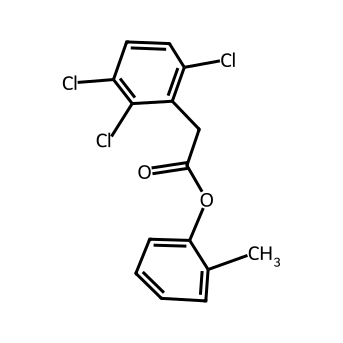 Cc1ccccc1OC(=O)Cc1c(Cl)ccc(Cl)c1Cl